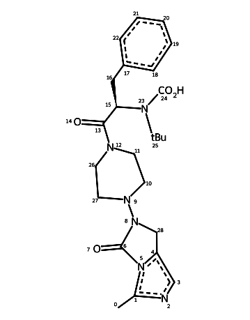 Cc1ncc2n1C(=O)N(N1CCN(C(=O)[C@@H](Cc3ccccc3)N(C(=O)O)C(C)(C)C)CC1)C2